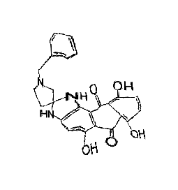 O=C1c2c(O)ccc(O)c2C(=O)c2c3c(cc(O)c21)NC1(CCN(Cc2ccccc2)C1)N3